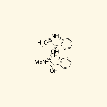 CN[C@@H](C)[C@@H](O)c1ccccc1.C[C@@H](N)[C@@H](O)c1ccccc1